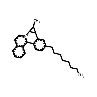 CCCCCCCCc1ccc2c(c1)C1C(C)C1[n+]1ccc3ccccc3c1-2